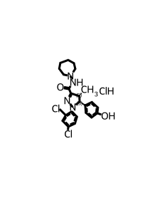 C[C@H]1C(C(=O)NN2CCCCCC2)=NN(c2ccc(Cl)cc2Cl)[C@@H]1c1ccc(O)cc1.Cl